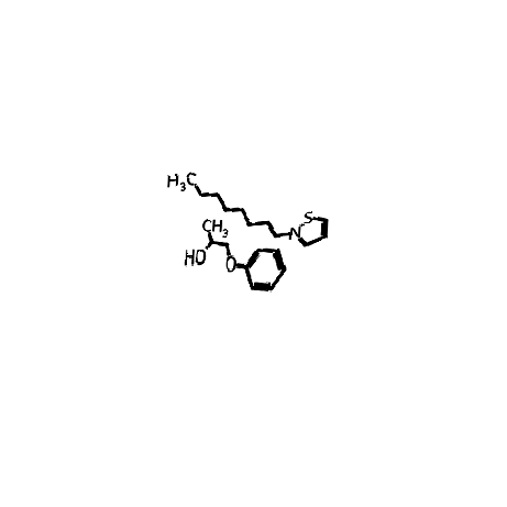 CC(O)COc1ccccc1.CCCCCCCCN1CC=CS1